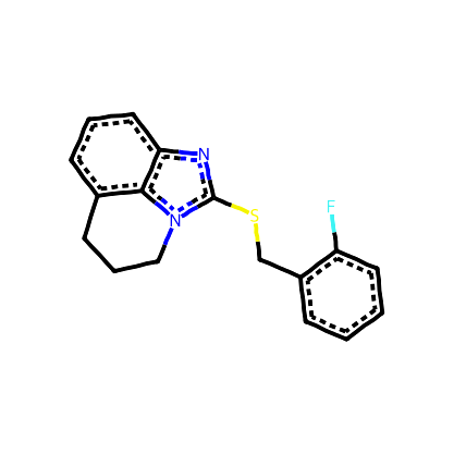 Fc1ccccc1CSc1nc2cccc3c2n1CCC3